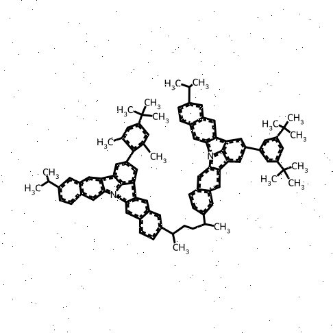 Cc1cc(C(C)(C)C)cc(C)c1-c1cc2c3cc4cc(C(C)C)ccc4cc3n3c4cc5ccc(C(C)CCC(C)c6ccc7cc8c(cc7c6)c6cc(-c7cc(C(C)(C)C)cc(C(C)(C)C)c7)cc7c9cc%10cc(C(C)C)ccc%10cc9n8c76)cc5cc4c(c1)c23